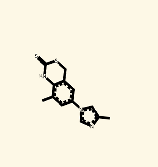 Cc1cn(-c2cc(C)c3c(c2)CSC(=S)N3)cn1